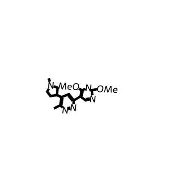 COc1ncc(-c2cc(C3CCN(C)C3)c(C)nn2)c(OC)n1